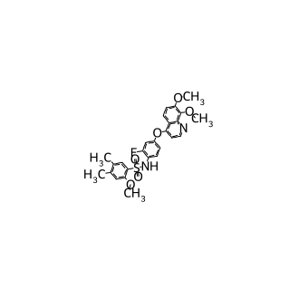 COc1cc(C)c(C)cc1S(=O)(=O)Nc1ccc(Oc2ccnc3c(OC)c(OC)ccc23)cc1F